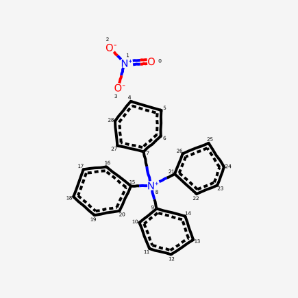 O=[N+]([O-])[O-].c1ccc([N+](c2ccccc2)(c2ccccc2)c2ccccc2)cc1